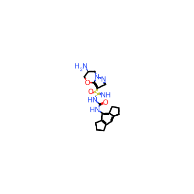 N=[S@@](=O)(NC(=O)Nc1c2c(cc3c1CCC3)CCC2)c1cnn2c1OC[C@@H](N)C2